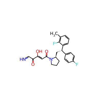 Cc1cccc([C@@H](C[C@H]2CCCN2C(=O)/C=C(\O)C(=O)C=N)c2ccc(F)cc2)c1F